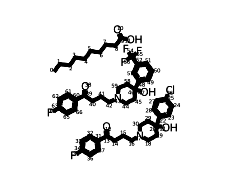 CCCCCCCCCC(=O)O.O=C(CCCN1CCC(O)(c2ccc(Cl)cc2)CC1)c1ccc(F)cc1.O=C(CCCN1CCC(O)(c2cccc(C(F)(F)F)c2)CC1)c1ccc(F)cc1